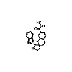 O=C(NO)c1ccc2c(c1)C(c1cnc3ccccn13)C1(CCNC1=O)CC2